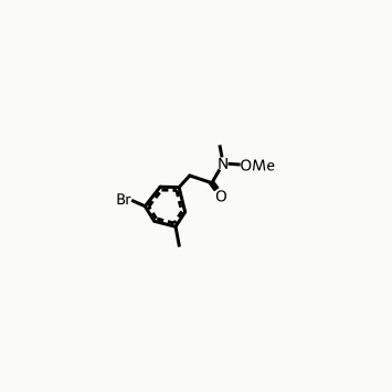 CON(C)C(=O)Cc1cc(C)cc(Br)c1